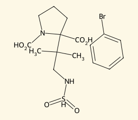 Brc1ccccc1.CC(C)(CN[SH](=O)=O)C1(C(=O)O)CCCN1C(=O)O